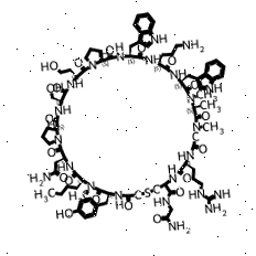 CCCC[C@H]1C(=O)N[C@@H](CC(N)=O)C(=O)N2CCC[C@H]2C(=O)N[C@@H](CO)C(=O)N[C@@H](CCO)C(=O)N2CCC[C@H]2C(=O)N[C@@H](Cc2c[nH]c3ccccc23)C(=O)N[C@@H](CCCN)C(=O)N[C@@H](Cc2c[nH]c3ccccc23)C(=O)N(C)[C@@H](C)C(=O)N(C)CC(=O)N[C@@H](CCCNC(=N)N)C(=O)NC(C(=O)NCC(N)=O)CSCC(=O)N[C@@H](Cc2ccc(O)cc2)C(=O)N1C